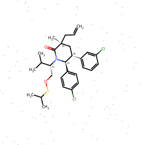 C=CC[C@@]1(C)C[C@H](c2cccc(Cl)c2)[C@@H](c2ccc(Cl)cc2)N([C@H](COSC(C)C)C(C)C)C1=O